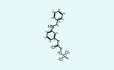 CS(=O)(=O)OCC(=O)Cc1cccc(NCc2ccccc2)c1